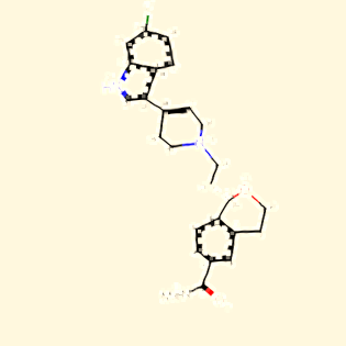 CNC(=O)c1ccc2c(c1)CCO[C@H]2CCN1CC=C(c2c[nH]c3cc(F)ccc23)CC1